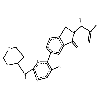 C=C(C)[C@@H](C)N1Cc2ccc(-c3nc(NC4CCOCC4)ncc3Cl)cc2C1=O